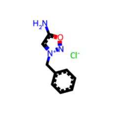 Nc1c[n+](Cc2ccccc2)no1.[Cl-]